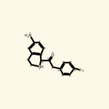 Nc1ccc2c(c1)CCNC2C(=O)Cc1ccc(F)cc1